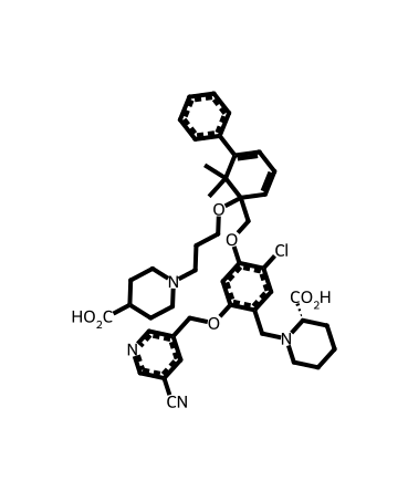 CC1(C)C(c2ccccc2)=CC=CC1(COc1cc(OCc2cncc(C#N)c2)c(CN2CCCC[C@H]2C(=O)O)cc1Cl)OCCCN1CCC(C(=O)O)CC1